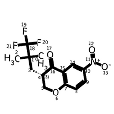 CC(C)(C[C@H]1COc2ccc([N+](=O)[O-])cc2C1=O)C(F)(F)F